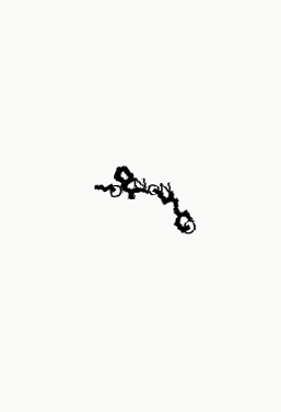 CCCCOc1c(C)c(COc2ccc(CCC3CCOCC3)cn2)nc2ccccc12